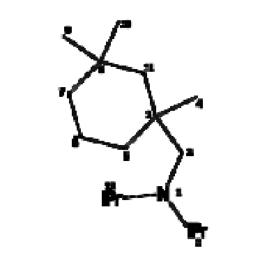 CC(C)N(CC1(C)C[CH]CC(C)(C)C1)C(C)C